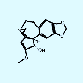 COC1=CC23CCCN2CCc2cc4c(cc2[C@@H]3[C@@H]1O)OCO4